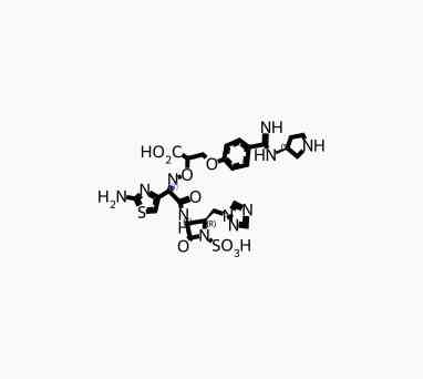 N=C(N[C@H]1CCNC1)c1ccc(OCC(O/N=C(\C(=O)N[C@@H]2C(=O)N(S(=O)(=O)O)[C@@H]2Cn2cncn2)c2csc(N)n2)C(=O)O)cc1